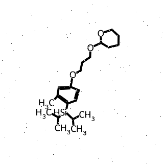 Cc1cc(OCCCOC2CCCCO2)ccc1[SiH](C(C)C)C(C)C